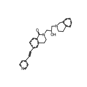 O=C1c2ccc(C#Cc3ccncc3)cc2CCN1CC(O)CN1CCc2ccccc2C1